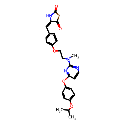 CC(C)Oc1ccc(Oc2ccnc(N(C)CCOc3ccc(C=C4NC(=O)SC4=O)cc3)n2)cc1